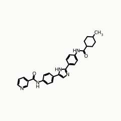 CC1CCC(C(=O)Nc2ccc(-c3ncc(-c4ccc(NC(=O)c5cccnc5)cc4)[nH]3)cc2)CC1